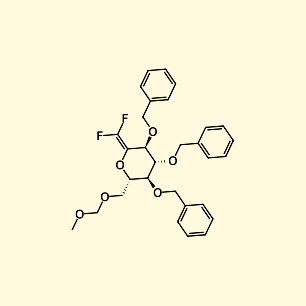 COCOC[C@@H]1OC(=C(F)F)[C@@H](OCc2ccccc2)[C@H](OCc2ccccc2)[C@H]1OCc1ccccc1